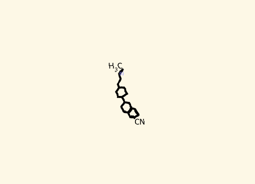 C/C=C/CCC1CCC(C2CCc3cc(C#N)ccc3C2)CC1